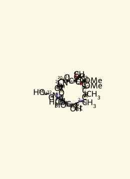 CC[C@@H]1/C=C(\C)C[C@H](C)C[C@H](OC)[C@H]2O[C@@](O)(CC(=O)N3CCCC[C@H]3C(=O)O[C@H](/C(C)=N/OCCO)[C@H](C)[C@@H](O)C[C@H]1O)[C@H](C)C[C@@H]2OC